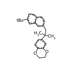 CC(C)(C)c1ccc2ccc(CC(C)(C)c3ccc4c(c3)OCCO4)cc2c1